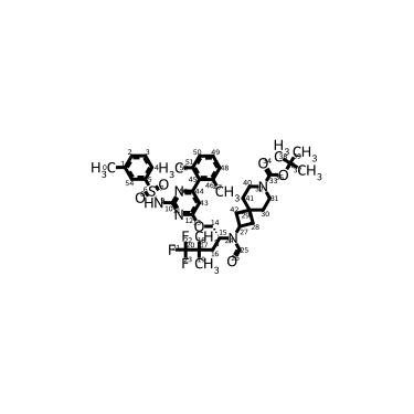 Cc1cccc(S(=O)(=O)Nc2nc(OC[C@@H](CC(C)(C)C(F)(F)F)N(C=O)C3CC4(CCN(C(=O)OC(C)(C)C)CC4)C3)cc(-c3c(C)cccc3C)n2)c1